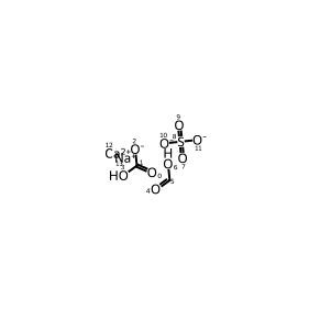 O=C([O-])O.O=CO.O=S(=O)([O-])[O-].[Ca+2].[Na+]